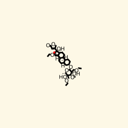 CCOCOC12CC[C@](O)(C3=CC(=O)OC3)[C@@]1(C)CC[C@H]1[C@H]2CC[C@@H]2C[C@@H](O[C@@H]3O[C@@H](C)[C@@](O)(COCC)[C@@H](OC)[C@@]3(O)COCC)CC[C@@]21C